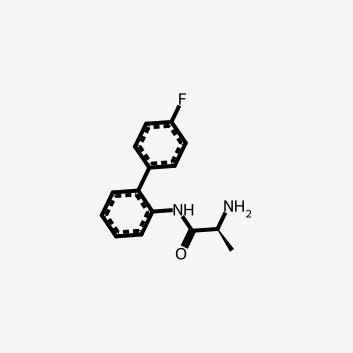 C[C@H](N)C(=O)Nc1ccccc1-c1ccc(F)cc1